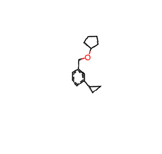 c1cc(COC2CCCC2)cc(C2CC2)c1